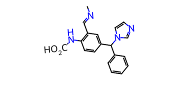 CN=Cc1cc(C(c2ccccc2)n2ccnc2)ccc1NC(=O)O